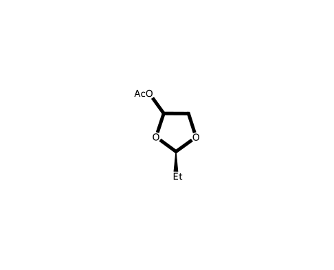 CC[C@@H]1OCC(OC(C)=O)O1